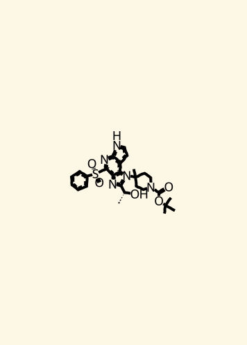 C[C@@H](O)c1nc2c(S(=O)(=O)c3ccccc3)nc3[nH]ccc3c2n1C1(C)CCN(C(=O)OC(C)(C)C)CC1